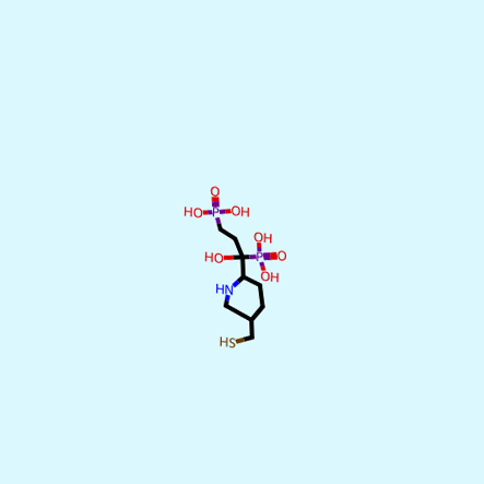 O=P(O)(O)CCC(O)(C1CCC(CS)CN1)P(=O)(O)O